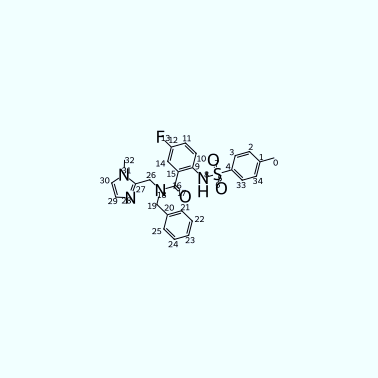 Cc1ccc(S(=O)(=O)Nc2ccc(F)cc2C(=O)N(Cc2ccccc2)Cc2nccn2C)cc1